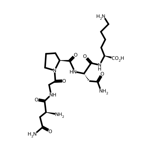 NCCCC[C@H](NC(=O)[C@H](CC(N)=O)NC(=O)[C@@H]1CCCN1C(=O)CNC(=O)[C@@H](N)CC(N)=O)C(=O)O